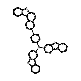 c1ccc2c(c1)oc1ccc(N(c3ccc(-c4ccc5c(ccc6sc7ccccc7c65)c4)cc3)c3ccc4c(c3)sc3ccccc34)cc12